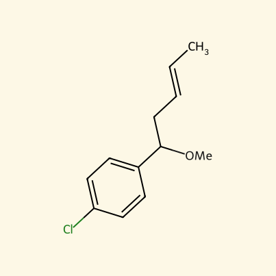 CC=CCC(OC)c1ccc(Cl)cc1